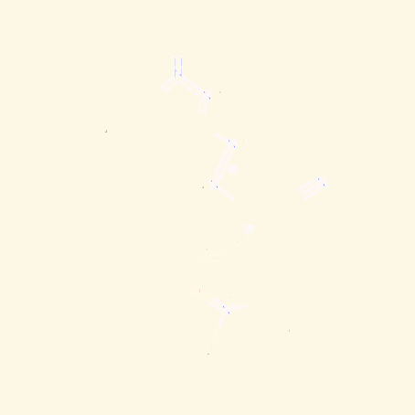 Cc1c(/N=N/C(C#N)=C(\O)c2ccccc2[N+](=O)[O-])n[nH]c1C(C)(C)C